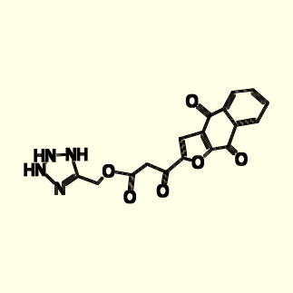 O=C(CC(=O)c1cc2c(o1)C(=O)c1ccccc1C2=O)OCC1=NNNN1